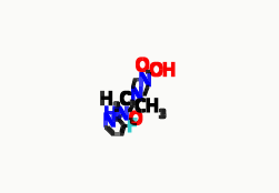 CC(C)(C(=O)Nc1ncccc1F)N1CCN(C(=O)O)CC1